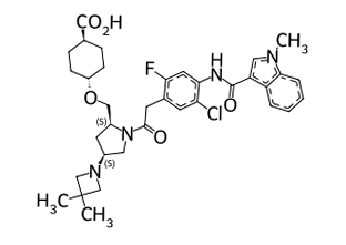 Cn1cc(C(=O)Nc2cc(F)c(CC(=O)N3C[C@@H](N4CC(C)(C)C4)C[C@H]3CO[C@H]3CC[C@H](C(=O)O)CC3)cc2Cl)c2ccccc21